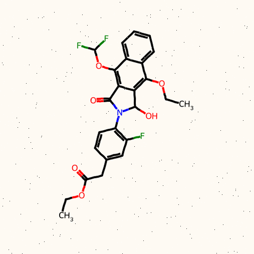 CCOC(=O)Cc1ccc(N2C(=O)c3c(c(OCC)c4ccccc4c3OC(F)F)C2O)c(F)c1